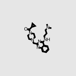 CN(C)CCCNc1nc(CN2CCN(C(=O)C3CC3)CC2)nc2ccccc12